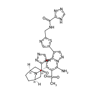 CS(=O)(=O)c1c([C@@H]2C[C@H]3CC[C@@H](C2)N3C(=O)c2nnc[nH]2)nc2c(-c3cnc(CNC(=O)c4nnc[nH]4)s3)cnn2c1N